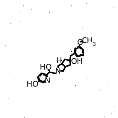 COc1cccc(C[C@]2(O)CC3CN(CC(O)c4ccc(O)cn4)C[C@H]3C2)c1